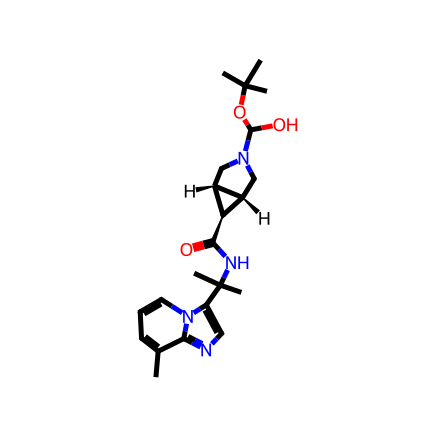 Cc1cccn2c(C(C)(C)NC(=O)[C@H]3[C@@H]4CN(C(O)OC(C)(C)C)C[C@@H]43)cnc12